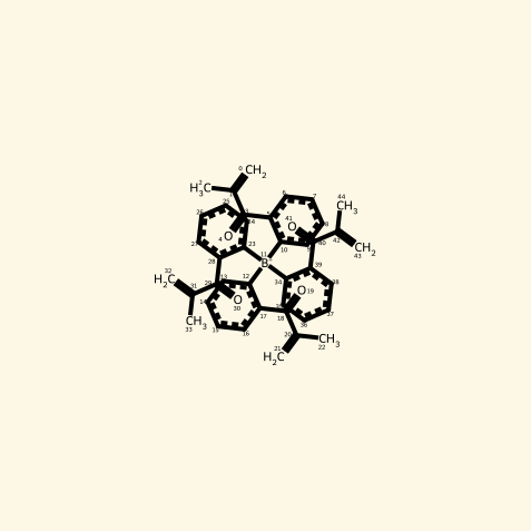 C=C(C)C(=O)c1ccccc1[B-](c1ccccc1C(=O)C(=C)C)(c1ccccc1C(=O)C(=C)C)c1ccccc1C(=O)C(=C)C